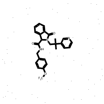 CC(C)(CN1C(=O)c2ccccc2C1C(=O)NCc1ccc(OC(F)(F)F)cc1)c1cccnc1